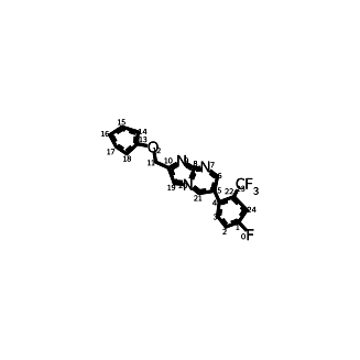 Fc1ccc(-c2cnc3nc(COc4ccccc4)cn3c2)c(C(F)(F)F)c1